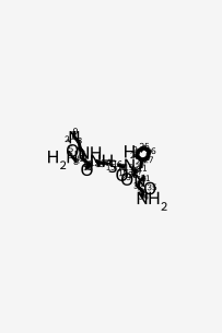 CN(C)CC(=O)N[C@@H](CN)C(=O)NCCSCC(=O)N[C@@H](Cc1ccccc1)C(=O)N(C)CC(N)=O